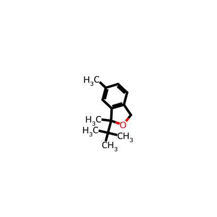 Cc1ccc2c(c1)C(C)(C(C)(C)C)OC2